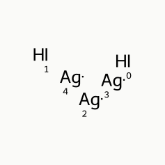 I.I.[Ag].[Ag].[Ag]